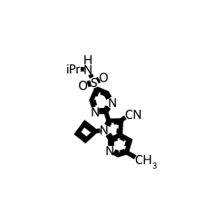 Cc1cnc2c(c1)c(C#N)c(-c1ncc(S(=O)(=O)NC(C)C)cn1)n2C1=CC=C1